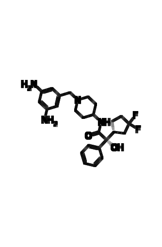 Nc1cc(N)cc(CN2CCC(NC(=O)[C@](O)(c3ccccc3)[C@@H]3CCC(F)(F)C3)CC2)c1